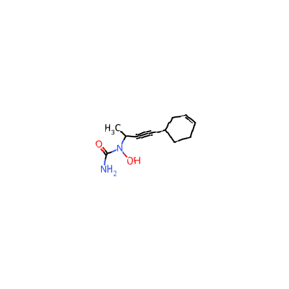 CC(C#CC1CC=CCC1)N(O)C(N)=O